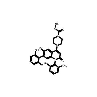 Cc1cccc(C(C)C)c1-n1c(=O)cc(N2CCN(C(=O)OC(C)(C)C)CC2)c2cc(F)c(-c3c(O)cccc3F)cc21